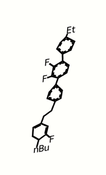 CCCCC1CC=C(CCc2ccc(-c3ccc(-c4ccc(CC)cc4)c(F)c3F)cc2)C=C1F